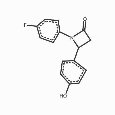 O=C1CC(c2ccc(O)cc2)N1c1ccc(F)cc1